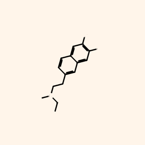 CCN(C)CCc1ccc2cc(O)c(O)cc2c1.Cl